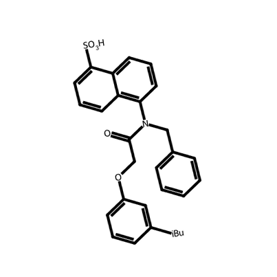 CCC(C)c1cccc(OCC(=O)N(Cc2ccccc2)c2cccc3c(S(=O)(=O)O)cccc23)c1